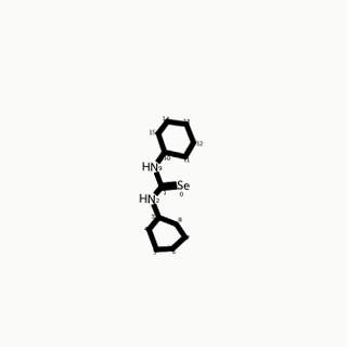 [Se]=C(NC1CCCCC1)NC1CCCCC1